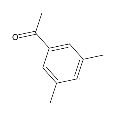 CC(=O)c1cc(C)[c]c(C)c1